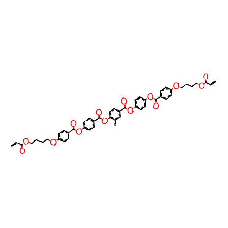 C=CC(=O)OCCCCOc1ccc(C(=O)Oc2ccc(OC(=O)c3ccc(OC(=O)c4ccc(OC(=O)c5ccc(OCCCCOC(=O)C=C)cc5)cc4)c(C)c3)cc2)cc1